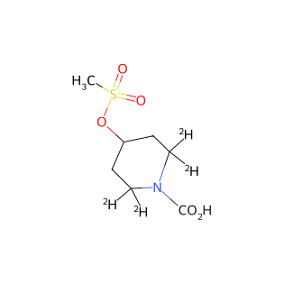 [2H]C1([2H])CC(OS(C)(=O)=O)CC([2H])([2H])N1C(=O)O